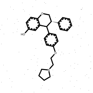 Oc1ccc2c(c1)C(c1ccc(OCCN3CCCC3)cc1)[C@@H](c1ccccc1)CO2